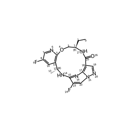 CC[C@@H]1COc2ncc(F)cc2[C@@H](C)Nc2nc3c(cnn3cc2F)C(=O)N1